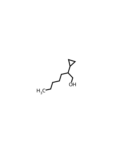 CCCCCC(CO)C1CC1